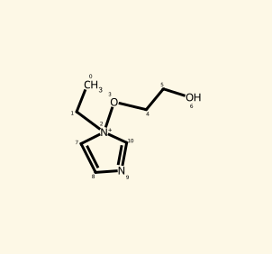 CC[N+]1(OCCO)C=CN=C1